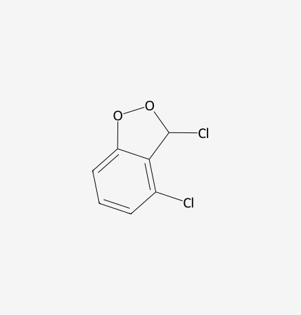 Clc1cccc2c1C(Cl)OO2